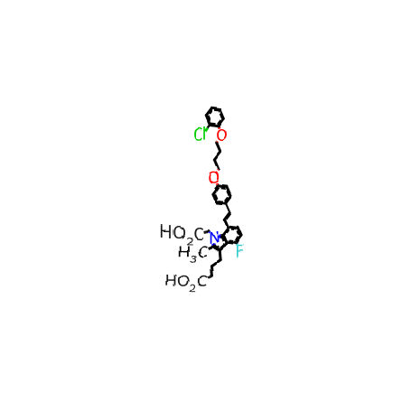 Cc1c(CCCC(=O)O)c2c(F)ccc(C=Cc3ccc(OCCCCOc4ccccc4Cl)cc3)c2n1CC(=O)O